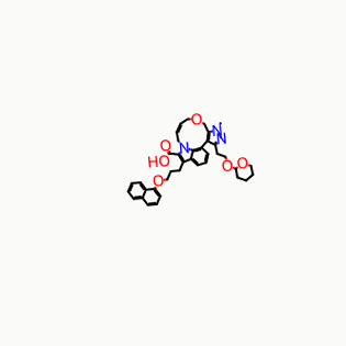 Cn1nc(CCOC2CCCCO2)c2c1COC/C=C\Cn1c(C(=O)O)c(CCCOc3cccc4ccccc34)c3cccc-2c31